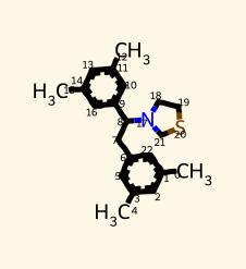 Cc1cc(C)cc(CC(c2cc(C)cc(C)c2)N2CCSC2)c1